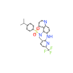 CC(C)c1ccc(S(=O)(=O)N2Cc3ccc(C(F)(F)F)nc3Nc3ccc4ncccc4c32)cc1